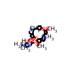 COc1ccc2cc1Oc1ccc(cc1)C[C@H]1c3cc(c(OC)cc3CCN1C)Oc1c(OCC(O)CN3CCC(N(C)C)CC3)c(OC)cc3c1[C@H](C2)N(C)CC3